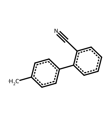 [CH2]c1ccc(-c2ccccc2C#N)cc1